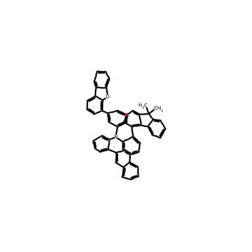 CC1(C)c2ccccc2-c2c(-c3ccccc3N(c3cccc(-c4cccc5c4oc4ccccc45)c3)c3ccccc3-c3ccc4ccccc4c3)cccc21